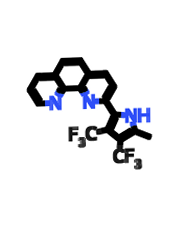 Cc1[nH]c(-c2ccc3ccc4cccnc4c3n2)c(C(F)(F)F)c1C(F)(F)F